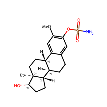 CC[C@]12CC[C@@H]3c4cc(OC)c(OS(N)(=O)=O)cc4CC[C@H]3[C@@H]1CC[C@@H]2O